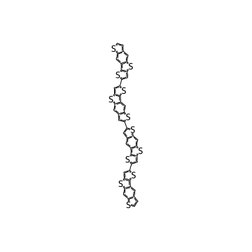 c1cc2cc3c(cc2s1)sc1cc(-c2cc4sc5cc6sc(-c7cc8cc9sc%10cc(-c%11cc%12sc%13cc%14ccsc%14cc%13c%12s%11)sc%10c9cc8s7)cc6cc5c4s2)sc13